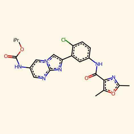 Cc1nc(C(=O)Nc2ccc(Cl)c(-c3cn4cc(NC(=O)OC(C)C)cnc4n3)c2)c(C)o1